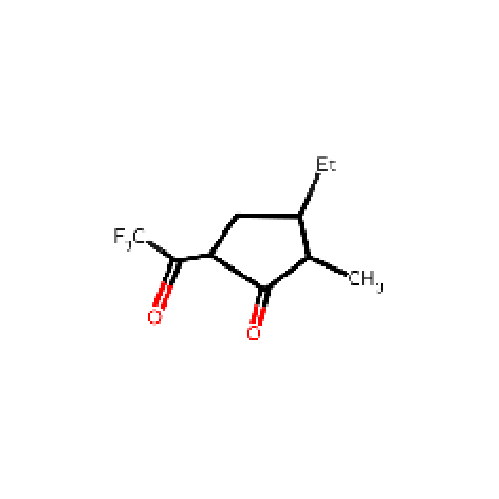 CCC1CC(C(=O)C(F)(F)F)C(=O)C1C